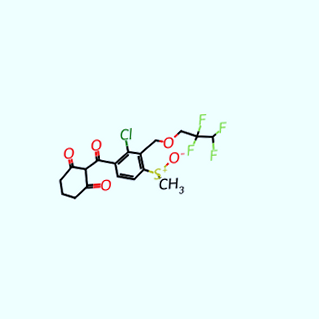 C[S+]([O-])c1ccc(C(=O)C2C(=O)CCCC2=O)c(Cl)c1COCC(F)(F)C(F)F